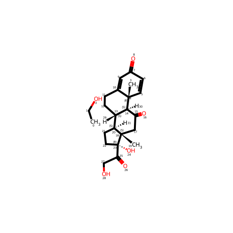 CCO.C[C@]12C=CC(=O)C=C1CC[C@@H]1[C@@H]2C(=O)C[C@@]2(C)[C@H]1CC[C@]2(O)C(=O)CO